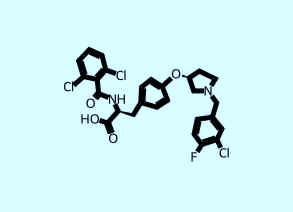 O=C(N[C@@H](Cc1ccc(O[C@@H]2CCN(Cc3ccc(F)c(Cl)c3)C2)cc1)C(=O)O)c1c(Cl)cccc1Cl